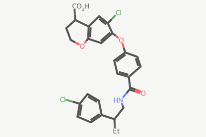 CCC(CNC(=O)c1ccc(Oc2cc3c(cc2Cl)C(C(=O)O)CCO3)cc1)c1ccc(Cl)cc1